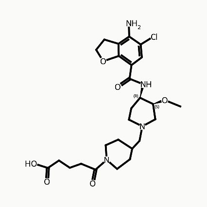 CO[C@H]1CN(CC2CCN(C(=O)CCCC(=O)O)CC2)CC[C@H]1NC(=O)c1cc(Cl)c(N)c2c1OCC2